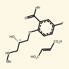 CCCC(=O)c1cc(F)ccc1OC[C@@H](O)CNC(C)(C)C.O=C(O)C=CC(=O)O